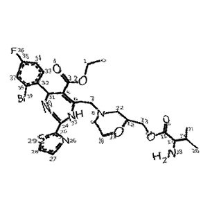 CCOC(=O)C1=C(CN2CCOC(COC(=O)C(N)C(C)C)C2)NC(c2nccs2)=NC1c1ccc(F)cc1Br